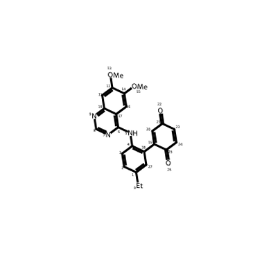 CCc1ccc(Nc2ncnc3cc(OC)c(OC)cc23)c(C2=CC(=O)C=CC2=O)c1